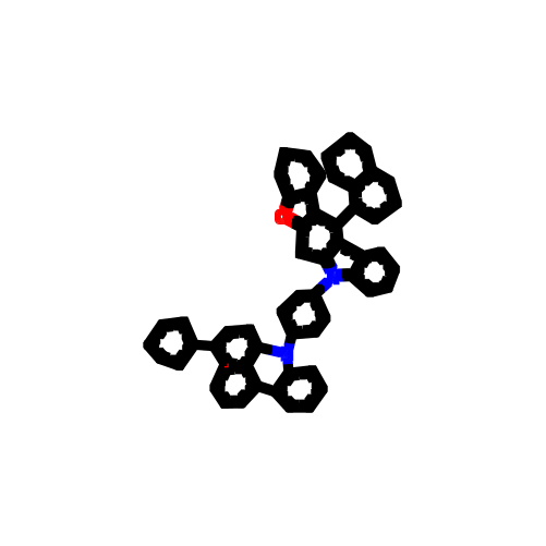 c1ccc(-c2ccc(N(c3ccc(-n4c5ccccc5c5c(-c6cccc7ccccc67)c6c(cc54)oc4ccccc46)cc3)c3ccccc3-c3ccccc3)cc2)cc1